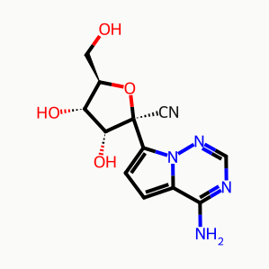 N#C[C@@]1(c2ccc3c(N)ncnn23)O[C@H](CO)[C@@H](O)[C@H]1O